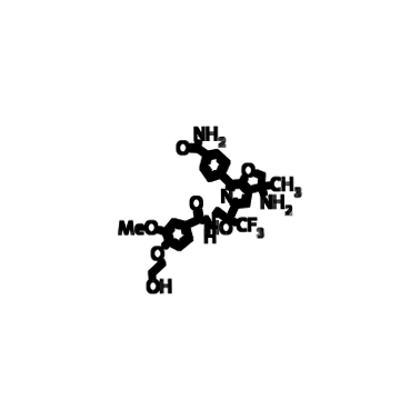 COc1cc(C(=O)NCC(O)(c2cc3c(c(-c4ccc(C(N)=O)cc4)n2)OCC3(C)N)C(F)(F)F)ccc1OCCO